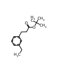 CCc1cccc(CCC(=O)OC(C)(C)C)c1